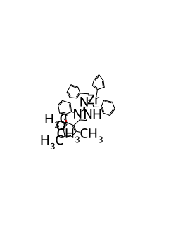 COCc1ccccc1N1C(=[N][Zr]([CH2]c2ccccc2)([CH2]c2ccccc2)[CH2]c2ccccc2)NCC1c1c(C)cc(C)cc1C